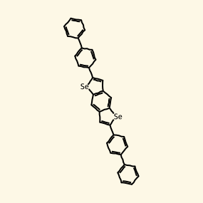 c1ccc(-c2ccc(-c3cc4cc5[se]c(-c6ccc(-c7ccccc7)cc6)cc5cc4[se]3)cc2)cc1